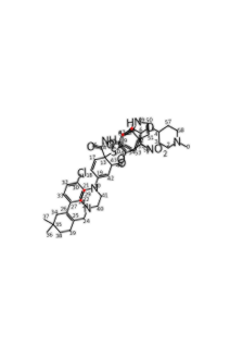 CN1CCC(Oc2ccc(S(=O)(=O)C3(C(N)=O)C=CC(N4CCN(CC5=C(c6ccc(Cl)cc6)CC(C)(C)CC5)CC4)=CC3Oc3ccc4[nH]ccc4c3)cc2[N+](=O)[O-])CC1